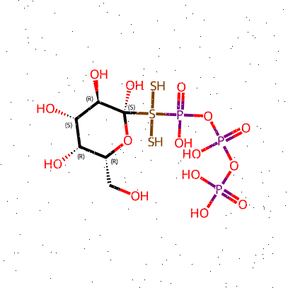 O=P(O)(O)OP(=O)(O)OP(=O)(O)S(S)(S)[C@@]1(O)O[C@H](CO)[C@H](O)[C@H](O)[C@H]1O